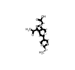 CSc1ncc(-c2ccc3c(c2)c(C(C)=O)nn3CC(=O)O)cn1